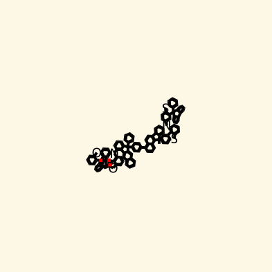 CC1(C)c2cc(N(c3ccc4c(c3)C3(c5ccccc5S4)c4ccccc4-c4ccccc43)c3cccc4sc5ccccc5c34)ccc2-c2ccc3c(-c4ccc(C5(c6ccccc6)c6cc7ccccc7cc6-c6c(N(c7ccc8c(c7)C7(c9ccccc9O8)c8ccccc8-c8ccccc87)c7cccc8oc9ccccc9c78)cccc65)cc4)cccc3c21